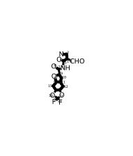 O=Cc1cnoc1NC(=O)c1cc2cc3c(cc2o1)OC(F)(F)O3